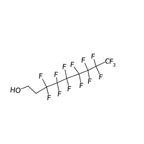 OCCC(F)(F)C(F)(F)C(F)(F)C(F)(F)C(F)(F)C(F)(F)C(F)(F)F